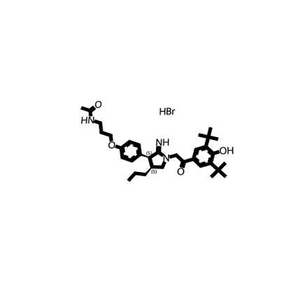 Br.CCC[C@@H]1CN(CC(=O)c2cc(C(C)(C)C)c(O)c(C(C)(C)C)c2)C(=N)[C@@H]1c1ccc(OCCCNC(C)=O)cc1